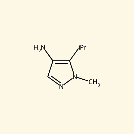 CC(C)c1c(N)cnn1C